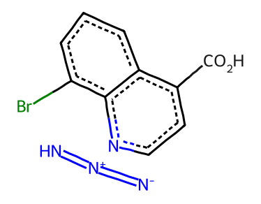 O=C(O)c1ccnc2c(Br)cccc12.[N-]=[N+]=N